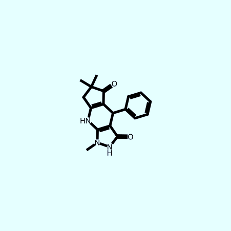 Cn1[nH]c(=O)c2c1NC1=C(C(=O)C(C)(C)C1)C2c1ccccc1